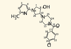 Cc1cccc(N2C[C@H](O)[C@@H](N3CCN(C(=O)c4ccc(Cl)cc4)CC3)C2)n1